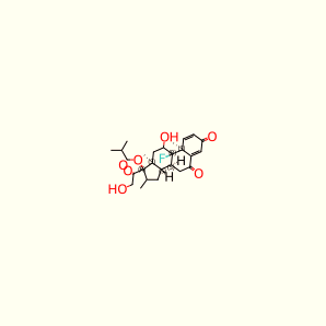 CC(C)C(=O)O[C@]1(C(=O)CO)C(C)C[C@H]2[C@@H]3CC(=O)C4=CC(=O)C=C[C@]4(C)[C@@]3(F)C(O)C[C@@]21C